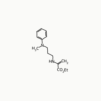 C=C(NCCCN(C)c1ccccc1)C(=O)OCC